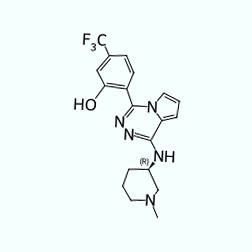 CN1CCC[C@@H](Nc2nnc(-c3ccc(C(F)(F)F)cc3O)n3cccc23)C1